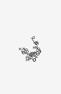 CC(=O)CCCn1cc(CNC(=O)C[C@@H](NC(=O)C(NC(=O)C(/N=C(\NCC(=O)N2CC[C@@H](C)[C@H]2C(N)=O)C(N[C@H](C)C(C)C)C(C)(C)C)C(C)(C)C)[C@@H](C)c2ccccc2)c2nccs2)nn1